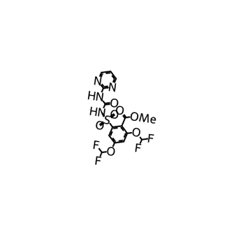 COC(=O)c1c(OC(F)F)cc(OC(F)F)cc1S(=O)(=O)NC(=O)Nc1ncccn1